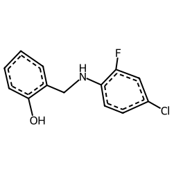 Oc1ccccc1CNc1ccc(Cl)cc1F